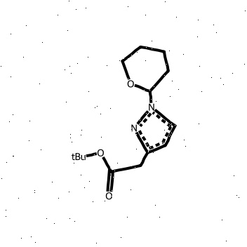 CC(C)(C)OC(=O)Cc1ccn(C2CCCCO2)n1